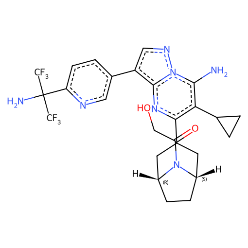 Nc1c(C2CC2)c(C2C[C@H]3CC[C@@H](C2)N3C(=O)CO)nc2c(-c3ccc(C(N)(C(F)(F)F)C(F)(F)F)nc3)cnn12